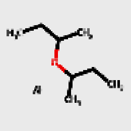 CCC(C)OC(C)CC.[Al]